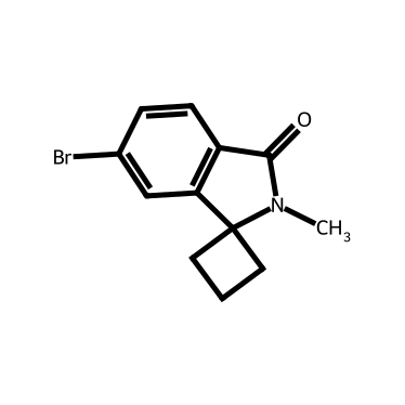 CN1C(=O)c2ccc(Br)cc2C12CCC2